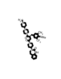 CNc1c(C)cc(C[C@@H](CC(=O)N2CCC(N3CCc4ccccc4NC3=O)CC2)C(=O)N2CCN(C3CCN(C)CC3)CC2)cc1C(F)(F)F